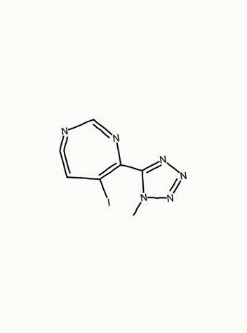 Cn1nnnc1C1=C(I)C=C=NC=N1